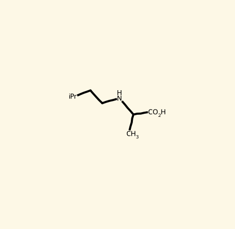 CC(C)CCNC(C)C(=O)O